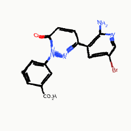 Nc1ncc(Br)cc1-c1ccc(=O)n(-c2cccc(C(=O)O)c2)n1